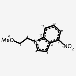 COCCn1ccc2c([N+](=O)[O-])cccc21